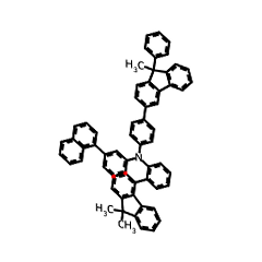 CC1(C)c2ccccc2-c2c(-c3ccccc3N(c3ccc(-c4ccc5c(c4)-c4ccccc4C5(C)c4ccccc4)cc3)c3cccc(-c4cccc5ccccc45)c3)cccc21